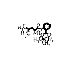 CC(C)CC(N)C(=O)Oc1ccccc1C(=O)OC(C)(C)C